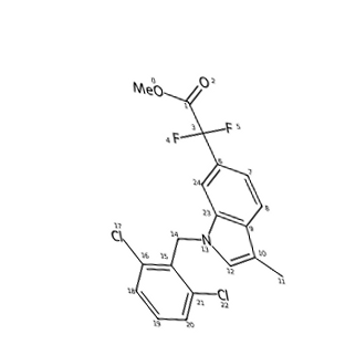 COC(=O)C(F)(F)c1ccc2c(C)cn(Cc3c(Cl)cccc3Cl)c2c1